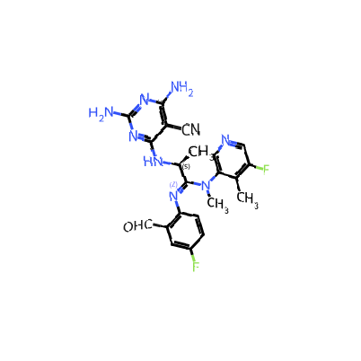 Cc1c(F)cncc1N(C)/C(=N\c1ccc(F)cc1C=O)[C@H](C)Nc1nc(N)nc(N)c1C#N